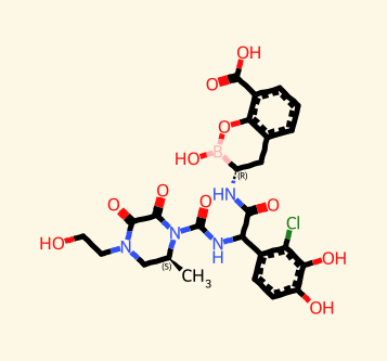 C[C@H]1CN(CCO)C(=O)C(=O)N1C(=O)NC(C(=O)N[C@H]1Cc2cccc(C(=O)O)c2OB1O)c1ccc(O)c(O)c1Cl